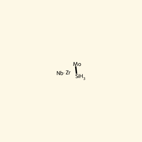 [Nb].[SiH3][Mo].[Zr]